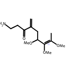 C=C(CC(OC)/C(OC)=C(\C)OC)C(=O)CCN